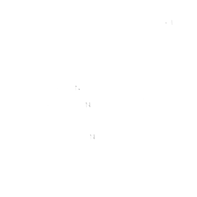 CCC(CC)c1cc(C)nn2c(-c3sc4ccc(O)cc4c3C)c(C)nc12